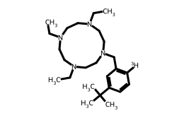 [3H]c1ccc(C(C)(C)C)cc1CN1CCN(CC)CCN(CC)CCN(CC)CC1